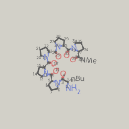 CCCC[C@H](N)C(=O)N1CCC[C@H]1C(=O)N1CCC[C@H]1C(=O)N1CCC[C@@H]1C(=O)N1CCC[C@H]1C(=O)N1CCC[C@H]1C(=O)NC